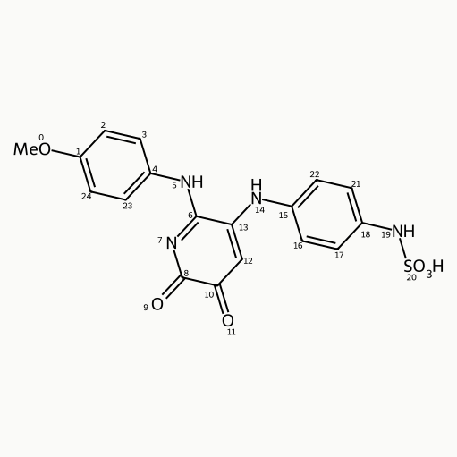 COc1ccc(NC2=NC(=O)C(=O)C=C2Nc2ccc(NS(=O)(=O)O)cc2)cc1